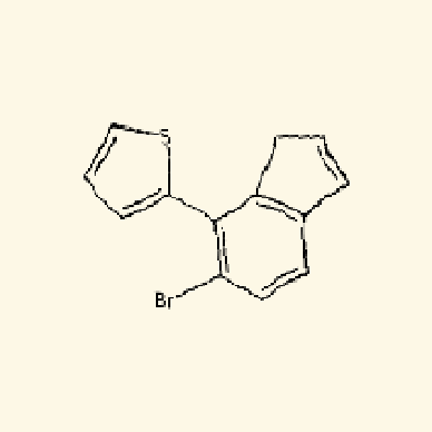 Brc1ccc2c(c1-c1cccs1)CC=C2